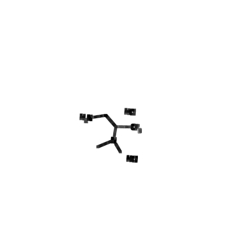 CN(C)C(CN)C(F)(F)F.Cl.Cl